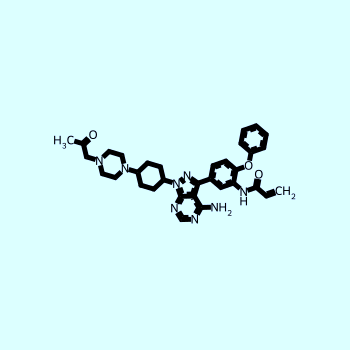 C=CC(=O)Nc1cc(-c2nn(C3CCC(N4CCN(CC(C)=O)CC4)CC3)c3ncnc(N)c23)ccc1Oc1ccccc1